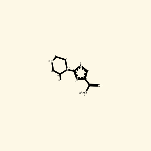 COC(=O)c1csc(N2CCOCC2C)n1